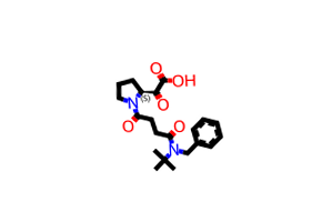 CC(C)(C)N(Cc1ccccc1)C(=O)CCC(=O)N1CCC[C@H]1C(=O)C(=O)O